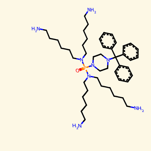 NCCCCCCN(CCCCCCN)P(=O)(N(CCCCCCN)CCCCCCN)N1CCN(C(c2ccccc2)(c2ccccc2)c2ccccc2)CC1